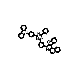 c1ccc(-c2nc(-c3ccc(-n4c5ccccc5c5ccccc54)cc3)nc(-c3cccc(-c4nc5ccc6ccccc6c5c5c4oc4ccccc45)c3)n2)cc1